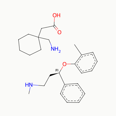 CNCC[C@@H](Oc1ccccc1C)c1ccccc1.NCC1(CC(=O)O)CCCCC1